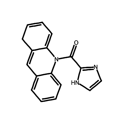 O=C(c1ncc[nH]1)N1C2=CC=CCC2=Cc2ccccc21